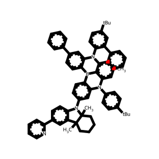 Cc1cc2c3c(c1)N(c1ccc(C(C)(C)C)cc1-c1ccccc1)c1cc(-c4ccccc4)ccc1B3c1ccc(N3c4ccc(-c5ccccn5)cc4C4(C)CCCCC34C)cc1N2c1ccc(C(C)(C)C)cc1